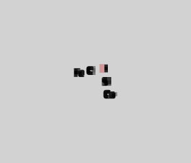 [B].[C].[Co].[Fe].[Si]